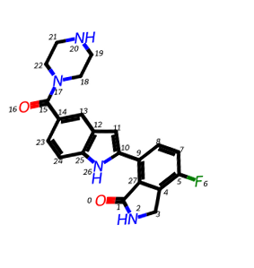 O=C1NCc2c(F)ccc(-c3cc4cc(C(=O)N5CCNCC5)ccc4[nH]3)c21